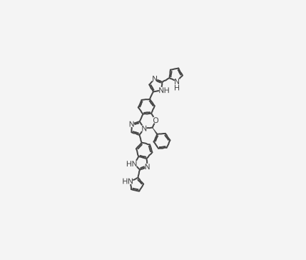 c1ccc([C@@H]2Oc3cc(-c4cnc(-c5ccc[nH]5)[nH]4)ccc3-c3ncc(-c4ccc5nc(-c6ccc[nH]6)[nH]c5c4)n32)cc1